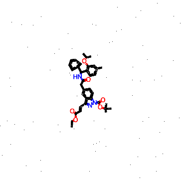 CCOC(=O)C=Cc1nn(C(=O)OC(C)(C)C)c2ccc(CC(=O)NC(c3ccccc3)c3ccc(C)cc3OC(C)C)cc12